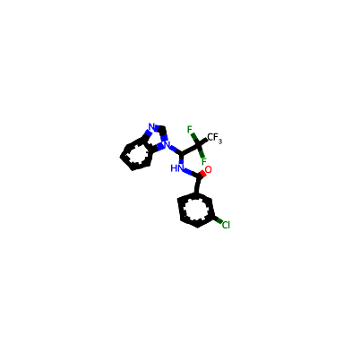 O=C(NC(n1cnc2ccccc21)C(F)(F)C(F)(F)F)c1cccc(Cl)c1